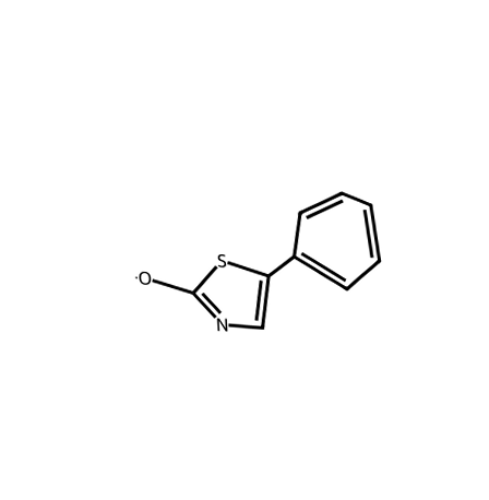 [O]c1ncc(-c2ccccc2)s1